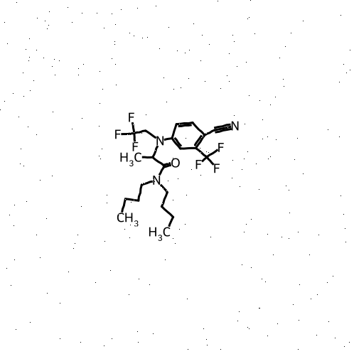 CCCCN(CCCC)C(=O)C(C)N(CC(F)(F)F)c1ccc(C#N)c(C(F)(F)F)c1